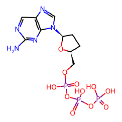 Nc1ncc2ncn([C@H]3CC[C@@H](COP(=O)(O)OP(=O)(O)OP(=O)(O)O)O3)c2n1